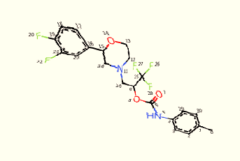 Cc1ccc(NC(=O)O[C@@H](CN2CCOC(c3ccc(F)c(F)c3)C2)C(F)(F)F)cc1